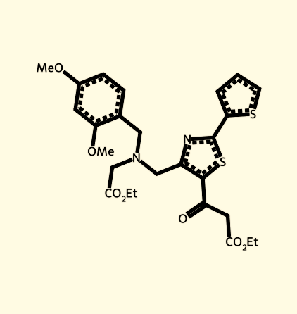 CCOC(=O)CC(=O)c1sc(-c2cccs2)nc1CN(CC(=O)OCC)Cc1ccc(OC)cc1OC